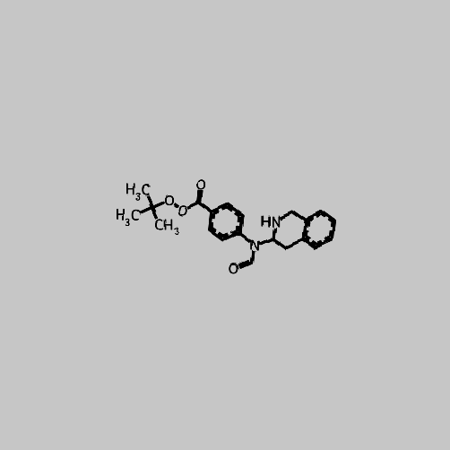 CC(C)(C)OOC(=O)c1ccc(N(C=O)C2Cc3ccccc3CN2)cc1